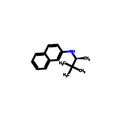 C[C@H](Nc1ccc2ccccc2c1)C(C)(C)C